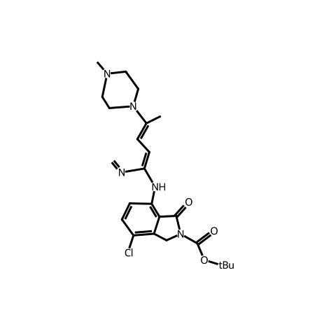 C=N/C(=C\C=C(/C)N1CCN(C)CC1)Nc1ccc(Cl)c2c1C(=O)N(C(=O)OC(C)(C)C)C2